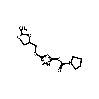 CC1OCC(COc2nc(SC(=O)N3CCCC3)ns2)O1